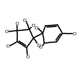 ClC1=CC(Cl)C(Cl)(C2(Cl)C(Cl)=C(Cl)C(Cl)(Cl)C2(Cl)Cl)C=C1